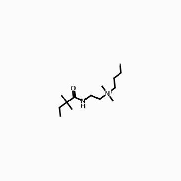 CCCC[N+](C)(C)CCNC(=O)C(C)(C)CC